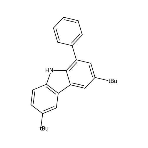 CC(C)(C)c1ccc2[nH]c3c(-c4ccccc4)cc(C(C)(C)C)cc3c2c1